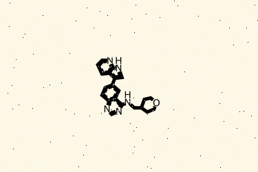 c1cnc2[nH]cc(-c3ccc4ncnc(NCC5CCOCC5)c4c3)c2c1